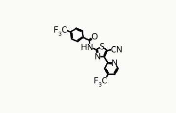 N#Cc1sc(NC(=O)c2ccc(C(F)(F)F)cc2)nc1-c1cc(C(F)(F)F)ccn1